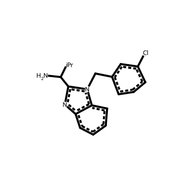 CC(C)C(N)c1nc2ccccc2n1Cc1cccc(Cl)c1